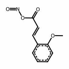 COc1ccccc1/C=C/C(=O)ON=O